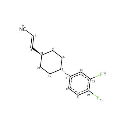 N#CC=C[C@H]1CC[C@H](c2ccc(F)c(F)c2)CC1